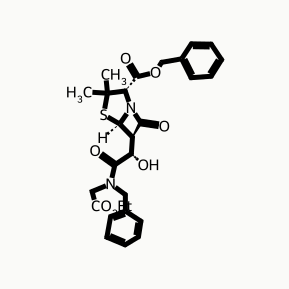 CCOC(=O)CN(Cc1ccccc1)C(=O)[C@@H](O)[C@@H]1C(=O)N2[C@@H]1SC(C)(C)[C@@H]2C(=O)OCc1ccccc1